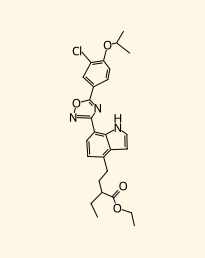 CCOC(=O)C(CC)CCc1ccc(-c2noc(-c3ccc(OC(C)C)c(Cl)c3)n2)c2[nH]ccc12